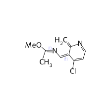 C=c1nccc(Cl)/c1=C/N=C(\C)OC